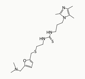 Cc1nc(C)n(CCCNC(=S)NCCSCc2ccc(CN(C)C)o2)c1C